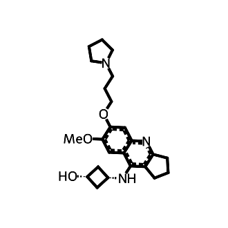 COc1cc2c(N[C@H]3C[C@@H](O)C3)c3c(nc2cc1OCCCN1CCCC1)CCC3